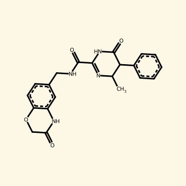 CC1N=C(C(=O)NCc2ccc3c(c2)NC(=O)CO3)NC(=O)C1c1ccccc1